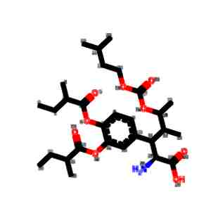 CCC(C)C(=O)Oc1ccc(C(C(C)C(C)OC(=O)OCCC(C)C)[C@H](N)C(=O)O)cc1OC(=O)C(C)CC